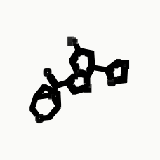 CCc1cc(-c2cnco2)c2ncc(C(=O)N3C4CCC3COC4)n2c1